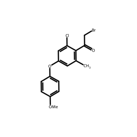 COc1ccc(Oc2cc(C)c(C(=O)CBr)c(Cl)c2)cc1